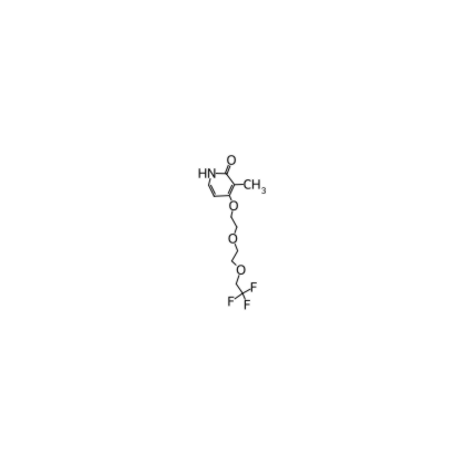 Cc1c(OCCOCCOCC(F)(F)F)cc[nH]c1=O